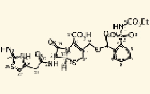 CCOC(=O)NS(=O)(=O)c1ccccc1C(=O)OCC1=C(C(=O)O)N2C(=O)[C@@H](NC(=O)Cc3csc(=N)[nH]3)[C@H]2SC1